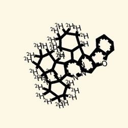 [2H]C1C([2H])([2H])C([2H])([2H])C([2H])([2H])C([2H])([2H])C1([2H])c1nnnc(C2C([2H])([2H])C([2H])([2H])C([2H])([2H])C([2H])([2H])C2([2H])c2cccc3oc4ccccc4c23)c1C1([2H])C([2H])C([2H])([2H])C([2H])([2H])C([2H])([2H])C1([2H])[2H]